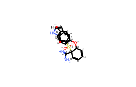 Cc1ccc(S(=O)(=O)C2(C(=N)N)C=CC=CC2Oc2ccc3[nH]ccc3c2)cc1